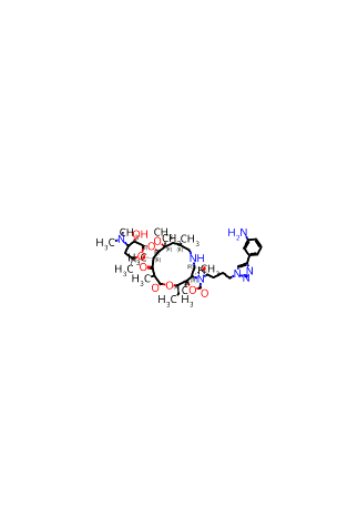 CC[C@H]1OC(=O)C(C)C(=O)[C@H](C)[C@@H](O[C@@H]2O[C@H](C)CC(N(C)C)C2O)[C@](C)(OC)C[C@@H](C)CN[C@H](C)[C@H]2N(CCCCn3cc(-c4cccc(N)c4)nn3)C(=O)O[C@]12C